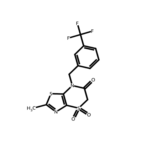 Cc1nc2c(s1)N(Cc1cccc(C(F)(F)F)c1)C(=O)CS2(=O)=O